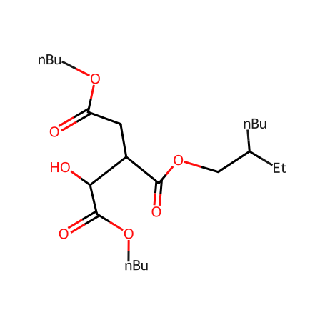 CCCCOC(=O)CC(C(=O)OCC(CC)CCCC)C(O)C(=O)OCCCC